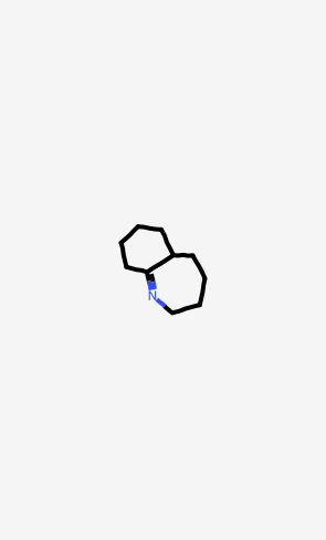 C1CCC2CCCCC2=NC1